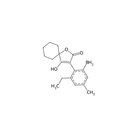 Bc1cc(C)cc(CC)c1C1=C(O)C2(CCCCC2)OC1=O